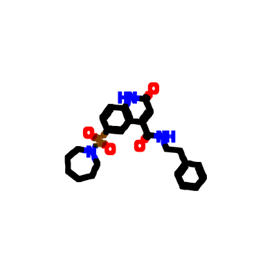 O=C(NCCc1ccccc1)c1cc(=O)[nH]c2ccc(S(=O)(=O)N3CCCCCC3)cc12